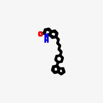 O=c1ccc2ccc(CCCCCC3CCC(c4cccc5c4C=CC5)CC3)cc2[nH]1